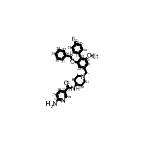 CCOc1cc(CN2CCC(NC(=O)c3ccc(N)nc3)CC2)cc(OCc2ccccc2)c1-c1ccc(F)cc1